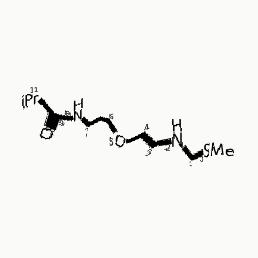 CSCNCCOCCNC(=O)C(C)C